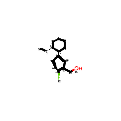 CC[C@@H]1CCCC[C@H]1c1ccc(F)c(CO)c1